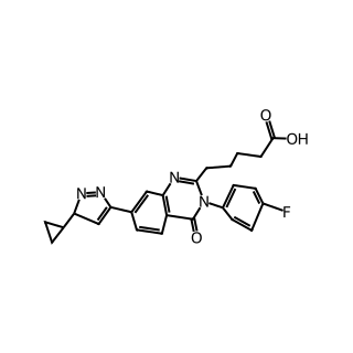 O=C(O)CCCCc1nc2cc(C3=CC(C4CC4)N=N3)ccc2c(=O)n1-c1ccc(F)cc1